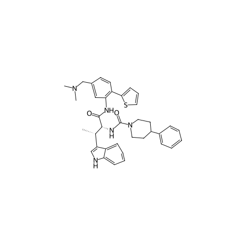 C[C@@H](c1c[nH]c2ccccc12)[C@@H](NC(=O)N1CCC(c2ccccc2)CC1)C(=O)Nc1cc(CN(C)C)ccc1-c1cccs1